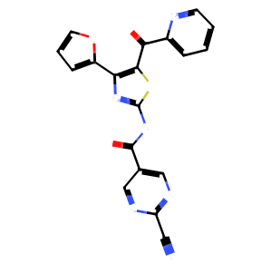 N#Cc1ncc(C(=O)Nc2nc(-c3ccco3)c(C(=O)c3ccccn3)s2)cn1